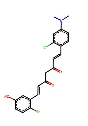 CN(C)c1ccc(/C=C/C(=O)CC(=O)/C=C/c2cc(O)ccc2Br)c(Cl)c1